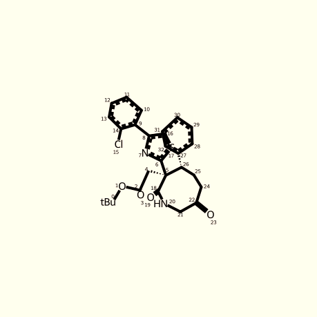 CC(C)(C)OC(=O)C[C@@]1(c2nc(-c3ccccc3Cl)cs2)C(=O)NCC(=O)CC[C@H]1c1ccccc1